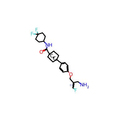 NC/C(=C\F)COc1ccc(C23CCC(C(=O)NC4CCC(F)(F)CC4)(CC2)CC3)cc1